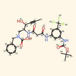 CC#C[C@H](O)[C@H](CN(Cc1ccccc1)C(=O)O)NC(=O)CC(=O)Nc1cc(NC(=O)OC(C)(C)C)cc(C(F)(F)F)c1